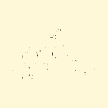 Brc1ccc([C@H](CCN2CCCCC2)Oc2cccc3c2OCO3)s1